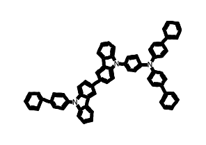 c1ccc(-c2ccc(N(c3ccc(-c4ccccc4)cc3)c3ccc(-n4c5ccccc5c5cc(-c6ccc7c(c6)c6ccccc6n7-c6ccc(-c7ccccc7)cc6)ccc54)cc3)cc2)cc1